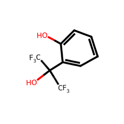 Oc1ccccc1C(O)(C(F)(F)F)C(F)(F)F